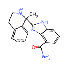 CC1(c2nc3c(C(N)=O)cccc3[nH]2)NCCc2ccccc21